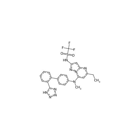 CCc1cc(N(C)c2ccc(-c3ccccc3-c3nnn[nH]3)cc2)n2nc(NS(=O)(=O)C(F)(F)F)cc2n1